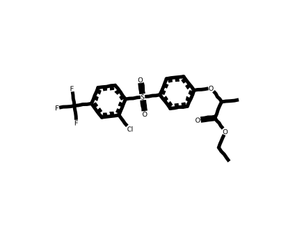 CCOC(=O)C(C)Oc1ccc(S(=O)(=O)c2ccc(C(F)(F)F)cc2Cl)cc1